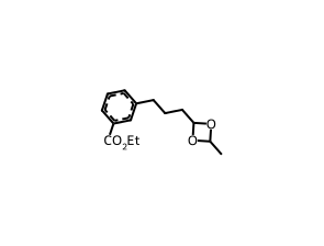 CCOC(=O)c1cccc(CCCC2OC(C)O2)c1